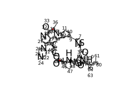 CCO[C@@H]1c2nc(cs2)-c2ccc3c(c2)c(c(-c2cc(N4CCN(C)CC4)cnc2[C@H](C)OC)n3CC)CC(C)(C)COC(=O)[C@@H]2CCCN(N2)C(=O)[C@H]1NC(=O)[C@H]1C(C(C)C)[C@@H]1C